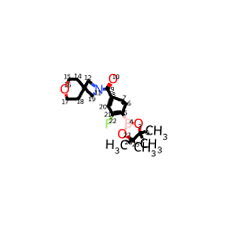 CC1(C)OB(c2ccc(C(=O)N3CC4(CCOCC4)C3)cc2F)OC1(C)C